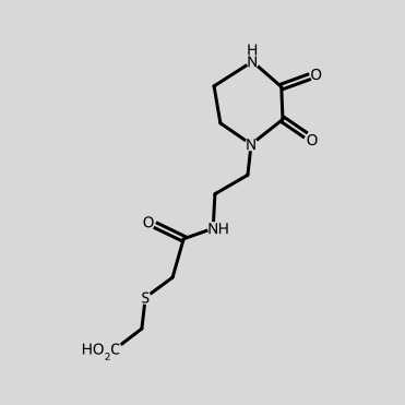 O=C(O)CSCC(=O)NCCN1CCNC(=O)C1=O